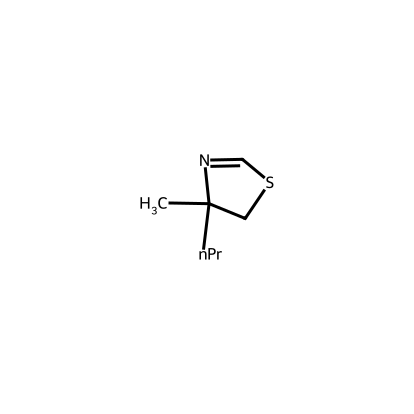 CCCC1(C)CSC=N1